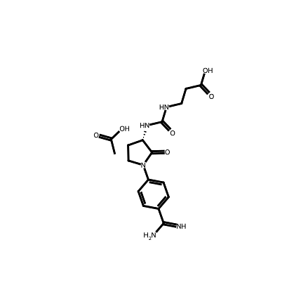 CC(=O)O.N=C(N)c1ccc(N2CC[C@H](NC(=O)NCCC(=O)O)C2=O)cc1